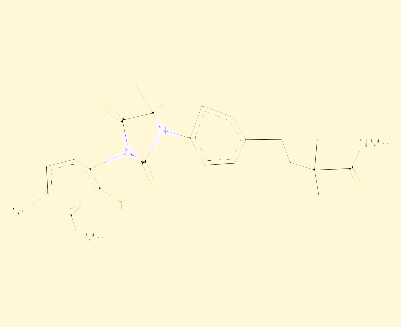 CNC(=O)C(C)(C)CCc1ccc(N2C(=S)N(c3ccc(C#N)c(OC)c3F)C(=O)C2(C)C)cc1